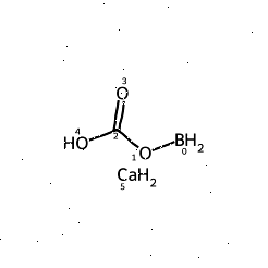 BOC(=O)O.[CaH2]